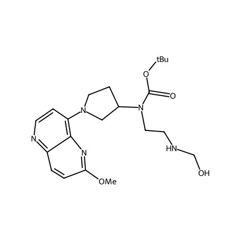 COc1ccc2nccc(N3CCC(N(CCNCO)C(=O)OC(C)(C)C)C3)c2n1